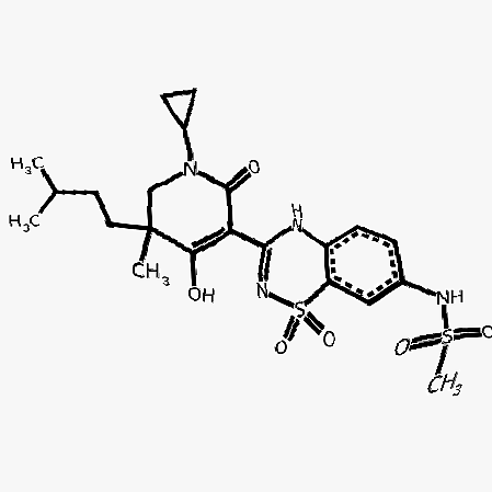 CC(C)CCC1(C)CN(C2CC2)C(=O)C(C2=NS(=O)(=O)c3cc(NS(C)(=O)=O)ccc3N2)=C1O